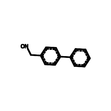 O=NCc1ccc(-c2ccccc2)cc1